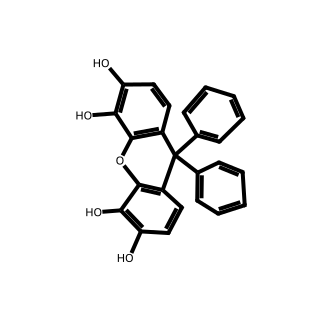 Oc1ccc2c(c1O)Oc1c(ccc(O)c1O)C2(c1ccccc1)c1ccccc1